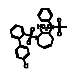 CS(=O)(=O)N(c1ccccc1)C1CC=CCN(S(=O)(=O)c2ccccc2-c2ccc(Cl)cc2)C1C(=O)O